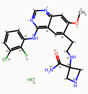 COc1cc2ncnc(Nc3cccc(Cl)c3F)c2cc1CCNC1(C(N)=O)CNC1.Cl